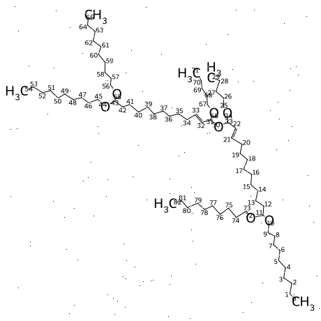 CCCCCCCCCCOC(CCCCCCCCCC=CC(OCCCCC)OC(C=CCCCCCCCCCC(OCCCCCCCCCC)OCCCCCCCCCC)OCCCCC)OCCCCCCCCCC